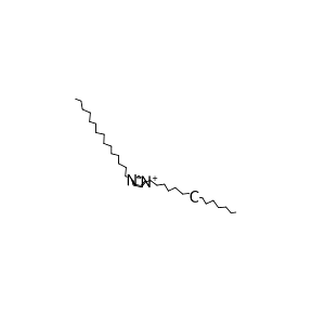 CCCCCCCCCCCCCCCn1cc[n+](CCCCCCCCCCCCCCC)c1